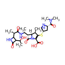 CC(O)C1C(=O)NC1[C@@H](C)C(=O)N[C@H](C)[C@H]1C(=O)N2C(C(=O)O)=C(S[C@@H]3CN[C@H](C(=O)N(C)C)C3)[C@H](C)[C@H]12